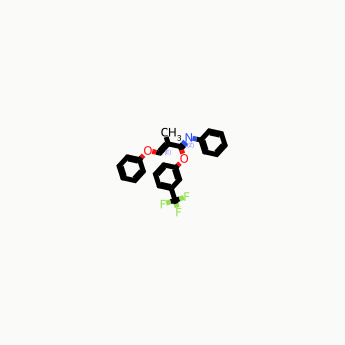 CC(=C\Oc1ccccc1)/C(=N/c1ccccc1)Oc1cccc(C(F)(F)F)c1